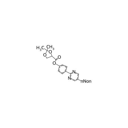 CCCCCCCCCc1cnc(-c2ccc(OC(=O)C3COC(C)(C)O3)cc2)nc1